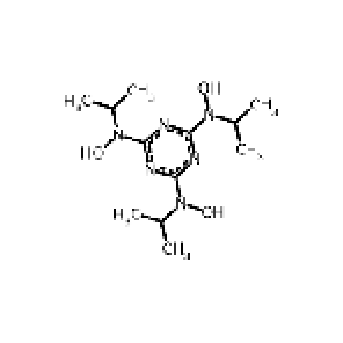 CC(C)N(O)c1nc(N(O)C(C)C)nc(N(O)C(C)C)n1